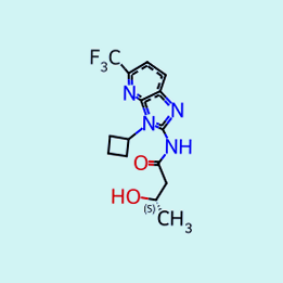 C[C@H](O)CC(=O)Nc1nc2ccc(C(F)(F)F)nc2n1C1CCC1